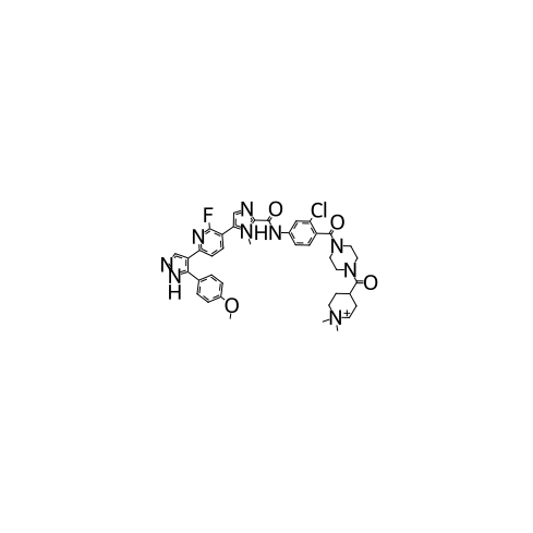 COc1ccc(-c2[nH]ncc2-c2ccc(-c3cnc(C(=O)Nc4ccc(C(=O)N5CCN(C(=O)C6CC[N+](C)(C)CC6)CC5)c(Cl)c4)n3C)c(F)n2)cc1